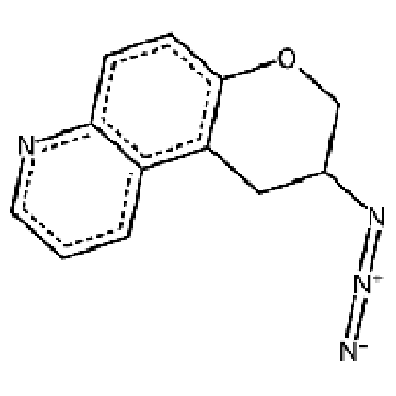 [N-]=[N+]=NC1COc2ccc3ncccc3c2C1